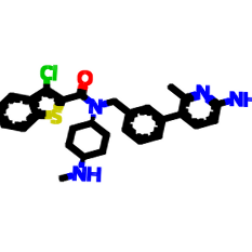 CN[C@H]1CC[C@H](N(Cc2cccc(-c3ccc(N)nc3C)c2)C(=O)c2sc3ccccc3c2Cl)CC1